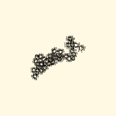 c1ccc(-c2cccc(N(c3ccc4c(ccc5oc6ccc7cc(N(c8cccc(-c9cccc(-c%10ccc(N(c%11ccc%12c(ccc%13oc%14ccc%15cc(N(c%16ccccc%16-c%16ccccc%16)c%16cccc%17c%16oc%16ccccc%16%17)ccc%15c%14c%13%12)c%11)c%11cccc%12c%11oc%11ccccc%11%12)c(-c%11ccccc%11)c%10)c9)c8)c8cccc9c8oc8ccccc89)ccc7c6c54)c3)c3cccc4c3oc3ccccc34)c2)cc1